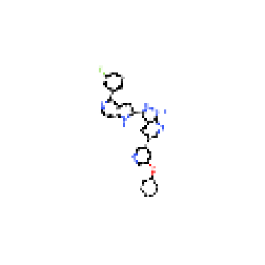 Fc1cccc(-c2nccc3[nH]c(-c4n[nH]c5ncc(-c6cncc(OC7CCCCC7)c6)cc45)cc23)c1